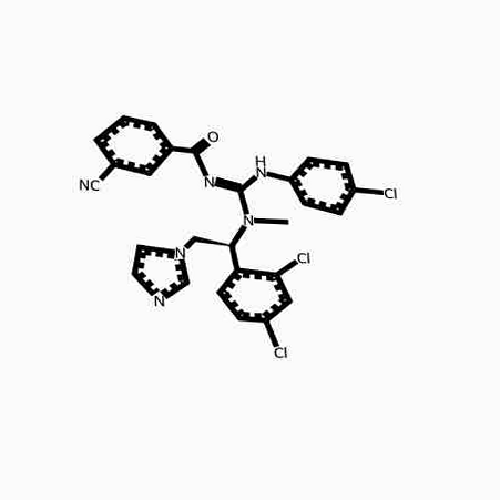 CN(/C(=N/C(=O)c1cccc(C#N)c1)Nc1ccc(Cl)cc1)[C@H](Cn1ccnc1)c1ccc(Cl)cc1Cl